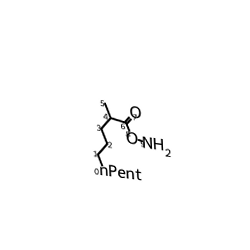 CCCCCCCCC(C)C(=O)ON